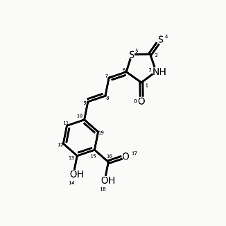 O=C1NC(=S)SC1=CC=Cc1ccc(O)c(C(=O)O)c1